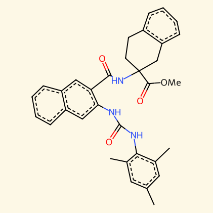 COC(=O)C1(NC(=O)c2cc3ccccc3cc2NC(=O)Nc2c(C)cc(C)cc2C)CCc2ccccc2C1